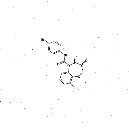 O=C1COc2c(cccc2C(F)(F)F)C(C(=O)Nc2ccc(Br)cc2)N1